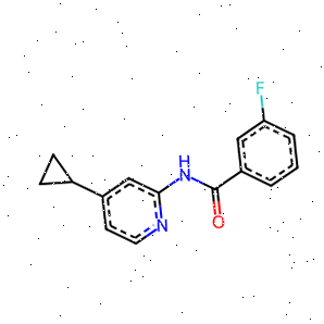 O=C(Nc1cc(C2CC2)ccn1)c1cccc(F)c1